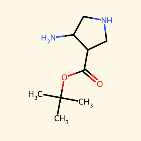 CC(C)(C)OC(=O)C1CNCC1N